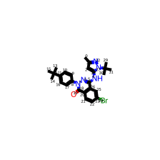 Cc1cc(Nc2nn(-c3ccc(C(C)(C)C)cc3)c(=O)c3ccc(Br)cc23)n(C(C)(C)C)n1